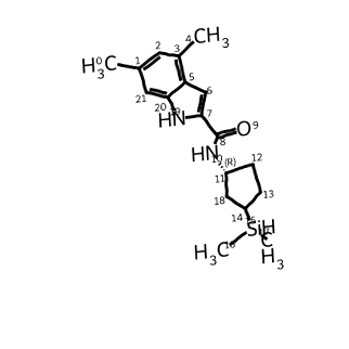 Cc1cc(C)c2cc(C(=O)N[C@@H]3CCC([SiH](C)C)C3)[nH]c2c1